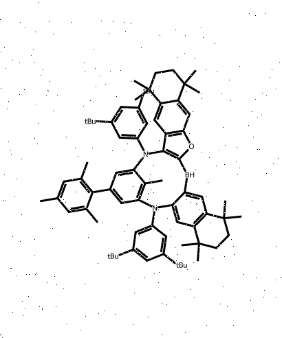 Cc1cc(C)c(-c2cc3c(C)c(c2)N(c2cc(C(C)(C)C)cc(C(C)(C)C)c2)c2c(oc4cc5c(cc24)C(C)(C)CCC5(C)C)Bc2cc4c(cc2N3c2cc(C(C)(C)C)cc(C(C)(C)C)c2)C(C)(C)CCC4(C)C)c(C)c1